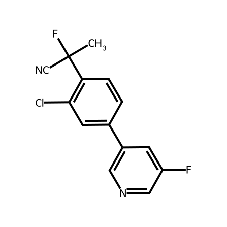 CC(F)(C#N)c1ccc(-c2cncc(F)c2)cc1Cl